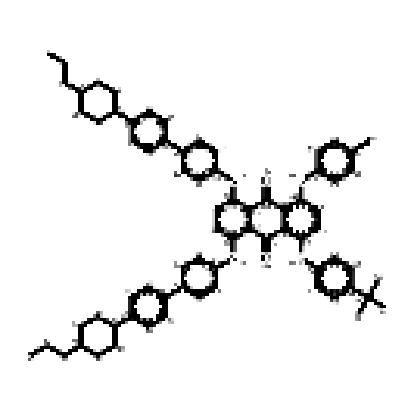 CCCC1CCC(c2ccc(-c3ccc(Sc4ccc(Sc5ccc(-c6ccc(C7CCC(CCC)CC7)cc6)cc5)c5c4C(=O)c4c(Sc6ccc(I)cc6)ccc(Sc6ccc(C(C)(C)C)cc6)c4C5=O)cc3)cc2)CC1